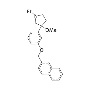 CCN1CCC(OC)(c2cccc(OCc3ccc4ccccc4c3)c2)C1